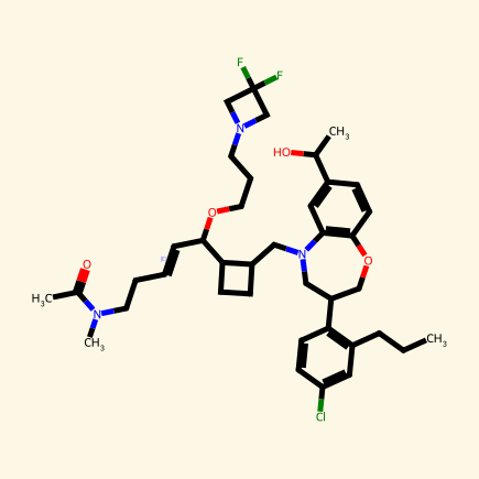 CCCc1cc(Cl)ccc1C1COc2ccc(C(C)O)cc2N(CC2CCC2C(/C=C/CCN(C)C(C)=O)OCCCN2CC(F)(F)C2)C1